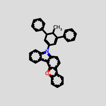 CC1C(c2ccccc2)=CC(n2c3ccccc3c3c4oc5ccccc5c4ccc32)=CC1c1ccccc1